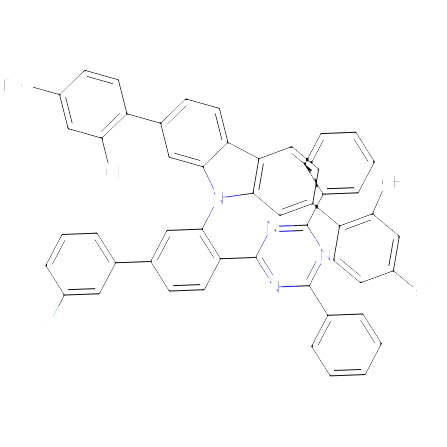 Fc1cccc(-c2ccc(-c3nc(-c4ccccc4)nc(-c4ccccc4)n3)c(-n3c4cc(-c5ccc(C(F)(F)F)cc5C(F)(F)F)ccc4c4ccc(-c5ccc(C(F)(F)F)cc5C(F)(F)F)cc43)c2)c1